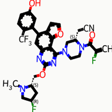 C=C(F)C(=O)N1CCN(c2nc(OC[C@@H]3C[C@@H](F)CN3C)nc3cc(-c4cc(O)ccc4C(F)(F)F)c4ccoc4c23)C[C@@H]1CC#N